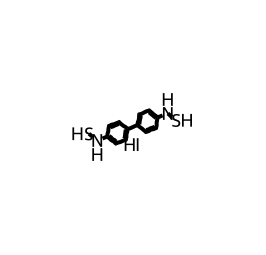 I.SNc1ccc(-c2ccc(NS)cc2)cc1